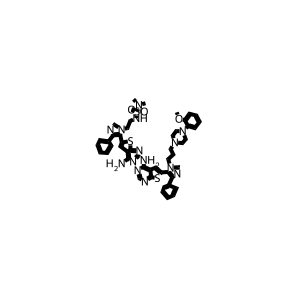 CN(C)S(=O)(=O)NCCn1cnc(-c2ccccc2)c1-c1cc2c(N)ncnc2s1.COc1ccccc1N1CCN(CCCn2cnc(-c3ccccc3)c2-c2cc3c(N)ncnc3s2)CC1